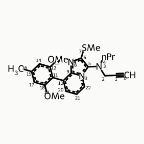 C#CCN(CCC)c1c(SC)nc2c(-c3c(OC)cc(C)cc3OC)cccn12